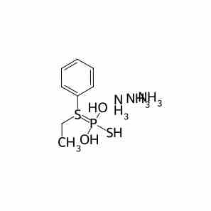 CCS(c1ccccc1)=P(O)(O)S.N.N.N